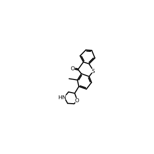 Cc1c(C2CNCCO2)ccc2sc3ccccc3c(=O)c12